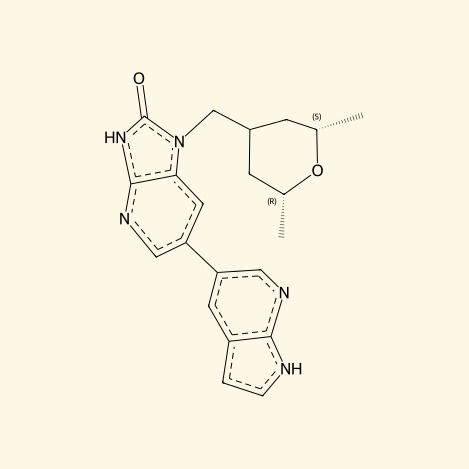 C[C@@H]1CC(Cn2c(=O)[nH]c3ncc(-c4cnc5[nH]ccc5c4)cc32)C[C@H](C)O1